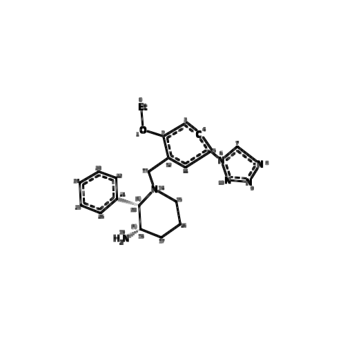 CCOc1ccc(-n2cnnn2)cc1CN1CCC[C@H](N)[C@@H]1c1ccccc1